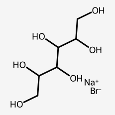 OCC(O)C(O)C(O)C(O)CO.[Br-].[Na+]